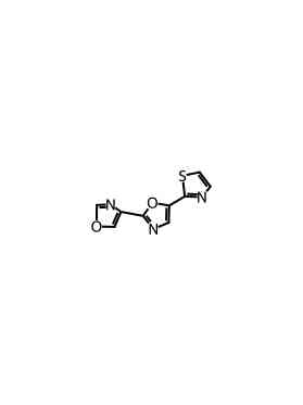 c1csc(-c2cnc(-c3cocn3)o2)n1